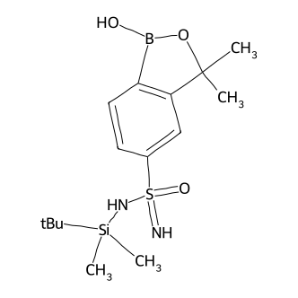 CC1(C)OB(O)c2ccc(S(=N)(=O)N[Si](C)(C)C(C)(C)C)cc21